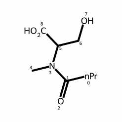 CCCC(=O)N(C)C(CO)C(=O)O